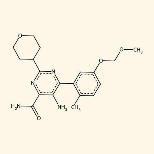 COCOc1ccc(C)c(-c2nc(C3CCOCC3)nc(C(N)=O)c2N)c1